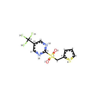 O=S(=O)(Cc1cccs1)c1ncc(C(F)(F)F)cn1